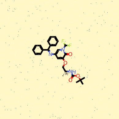 C[C@H](COc1cc(N=C(c2ccccc2)c2ccccc2)cn(C(F)F)c1=O)NC(=O)OC(C)(C)C